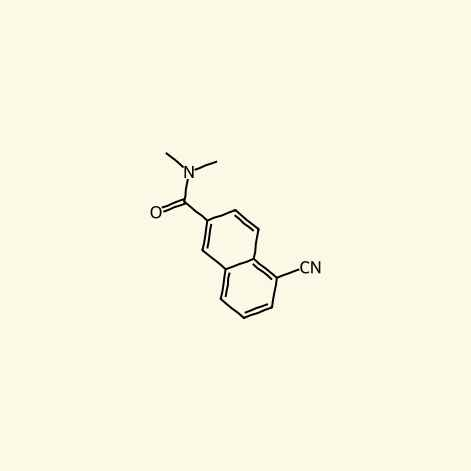 CN(C)C(=O)c1ccc2c(C#N)cccc2c1